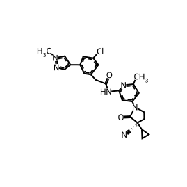 Cc1cc(N2CC[C@@](C#N)(C3CC3)C2=O)cc(NC(=O)Cc2cc(Cl)cc(-c3cnn(C)c3)c2)n1